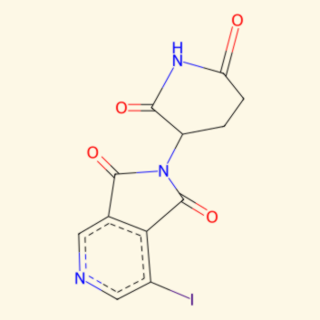 O=C1CCC(N2C(=O)c3cncc(I)c3C2=O)C(=O)N1